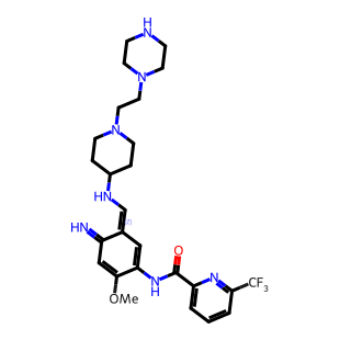 COC1=CC(=N)/C(=C\NC2CCN(CCN3CCNCC3)CC2)C=C1NC(=O)c1cccc(C(F)(F)F)n1